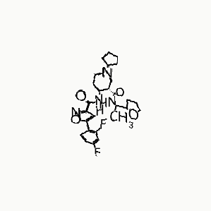 CC(NC(=O)[C@H]1CN(C2CCCC2)CC[C@@H]1NC(=O)c1cc(-c2ccc(F)cc2F)on1)C1CCCO1